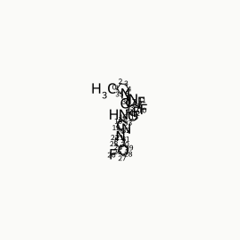 CC1CCCN(c2nc(C(F)(F)F)c(C(=O)Nc3ccc(N4CCc5c(F)cccc5C4)nc3)o2)C1